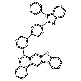 c1ccc(-n2c(-c3ccc(-c4cccc(-c5nc6ccccc6c6cc7c(cc56)oc5ccccc57)c4)cc3)nc3ccccc32)cc1